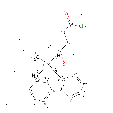 CC(C)(C)[Si](OCCCC(=O)Cl)(c1ccccc1)c1ccccc1